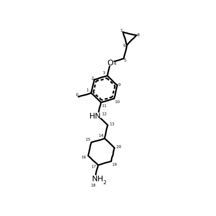 Cc1cc(OCC2CC2)ccc1NCC1CCC(N)CC1